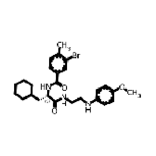 COc1ccc(NCCNC(=O)[C@H](CC2CCCCC2)NC(=O)c2ccc(C)c(Br)c2)cc1